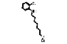 CCOCCCCCCCNc1ccccc1CC